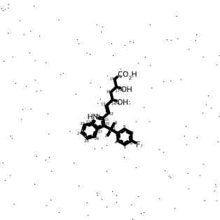 CC(C)(c1ccc(F)cc1)c1c(/C=C/C(O)CC(O)CC(=O)O)[nH]c2ccccc12